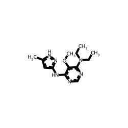 CCN(CC)c1ncnc(Nc2cc(C)[nH]n2)c1OC